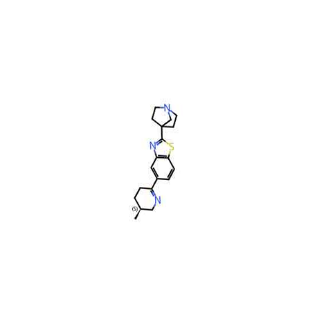 C[C@H]1CCC(c2ccc3sc(C45CCN(CC4)C5)nc3c2)=NC1